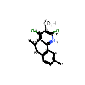 Cc1ccc2c(c1)-c1nc(Cl)c(C(=O)O)c(Cl)c1C(C)C2